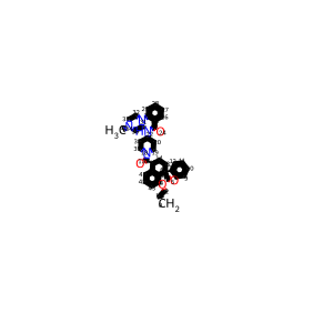 C=CCOC(=O)[C@@]1(c2ccccc2)CC[C@H](C(=O)N2CCC(NC(=O)c3ccccc3N3CCN(C)CC3)CC2)c2ccccc21